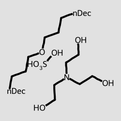 CCCCCCCCCCCCCOCCCCCCCCCCCCC.O=S(=O)(O)O.OCCN(CCO)CCO